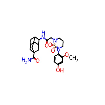 COc1cc(O)ccc1N1CCCN(CC(=O)NC2C3CC4CC2CC(C(N)=O)(C4)C3)S1(=O)=O